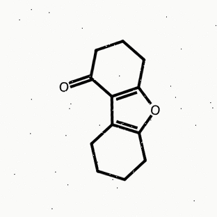 O=C1CCCc2oc3c(c21)CCCC3